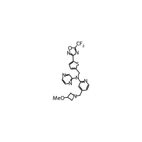 COC1CN(Cc2ccnc(N(Cc3ccc(-c4noc(C(F)(F)F)n4)s3)c3cnccn3)c2)C1